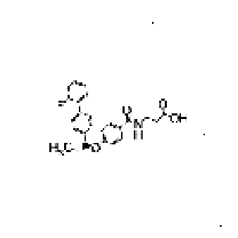 CC[C@@H](Oc1ccc(C(=O)NCCC(=O)O)cc1)c1ccc(-c2ccccc2F)cc1